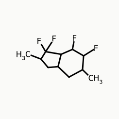 CC1CC2CC(C)C(F)(F)C2C(F)C1F